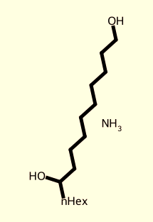 CCCCCCC(O)CCCCCCCCCO.N